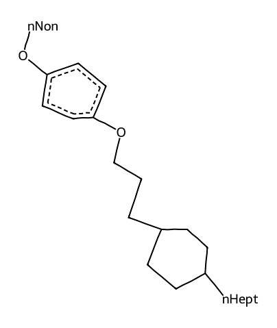 CCCCCCCCCOc1ccc(OCCCC2CCC(CCCCCCC)CC2)cc1